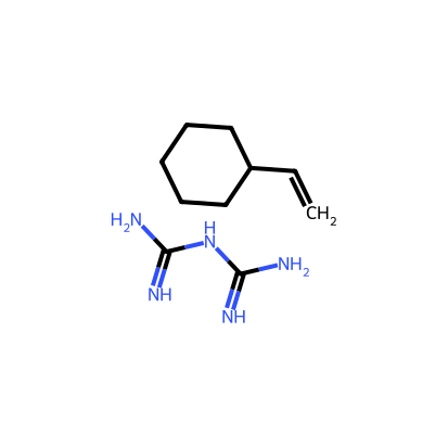 C=CC1CCCCC1.N=C(N)NC(=N)N